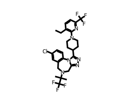 CCc1ccc(C(F)(F)F)nc1N1CCC(c2nnc3n2-c2ccc(Cl)cc2CN(C(C)(C)C(F)(F)F)C3)CC1